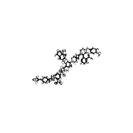 COc1ccc(CN2CCN(C3CC4(CCN(c5cc(Oc6cnc7[nH]ccc7c6)c(C(=O)NS(=O)(=O)c6ccc(NCC7(F)CCN(C8COC8)CC7)c([N+](=O)[O-])c6)cn5)CC4)C3)C(c3ccccc3C(C)C)C2)cc1